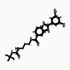 CC(C)(C)OC(=O)NCCCOC(=O)c1ccc2nc(-c3cc(Cl)cc(Cl)c3)oc2c1